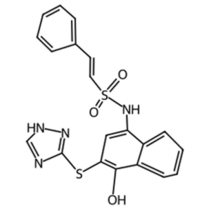 O=S(=O)(/C=C/c1ccccc1)Nc1cc(Sc2nc[nH]n2)c(O)c2ccccc12